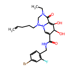 C=CCCCN1CN(CC)C(=O)C2=C(O)C(O)C(C(=O)NCc3ccc(Br)cc3F)=CN21